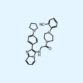 N#Cc1ccccc1N1CCN(C(=O)CNc2c(-c3ccc(N4CCCC4)cc3)nc3ccccn23)CC1